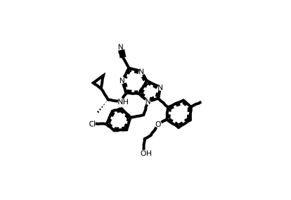 Cc1ccc(OCCO)c(-c2nc3nc(C#N)nc(N[C@H](C)C4CC4)c3n2Cc2ccc(Cl)cc2)c1